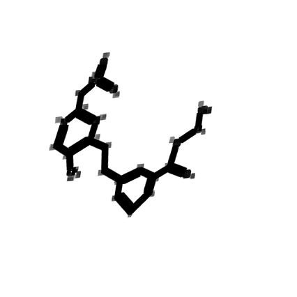 CC(C)(C)OOC(=O)c1cccc(CCc2nc(C[SH](=O)=O)ncc2C(F)(F)F)c1